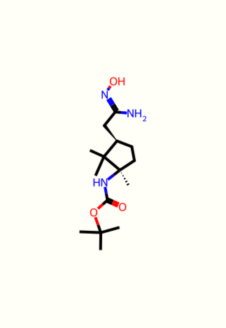 CC(C)(C)OC(=O)N[C@]1(C)CC[C@H](C/C(N)=N/O)C1(C)C